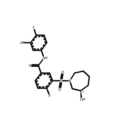 O=C(Nc1ccc(F)c(Cl)c1)c1ccc(F)c(S(=O)(=O)N2CCCC[C@@H](O)C2)c1